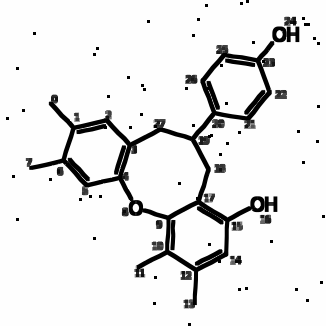 Cc1cc2c(cc1C)Oc1c(C)c(C)cc(O)c1CC(c1ccc(O)cc1)C2